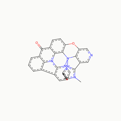 Cn1c2[n+](c3ccccc31)[N+]13c4c(cncc4-2)Oc2ccc4c(=O)c5cccc6c7ccc[n+]1c7n(c4c23)c56